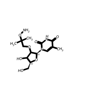 Cc1cn([C@H]2O[C@@H](CO)C(O)C2OCC(C)(C)ON)c(=O)[nH]c1=O